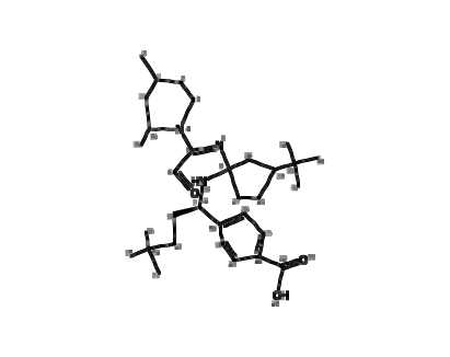 CC1CCN(/C(C=O)=N/C2(N[C@H](CCC(C)(C)C)c3ccc(C(=O)O)cc3)CCC(C(C)(C)C)C2)C(C)C1